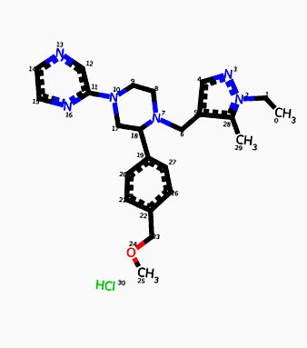 CCn1ncc(CN2CCN(c3cnccn3)CC2c2ccc(COC)cc2)c1C.Cl